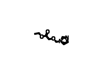 CCOC(=O)COCn1ccnc1